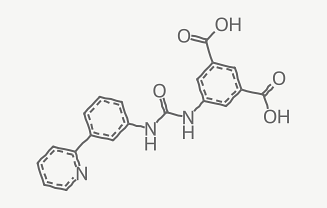 O=C(Nc1cc(C(=O)O)cc(C(=O)O)c1)Nc1cccc(-c2ccccn2)c1